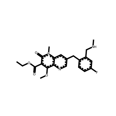 CCOC(=O)c1c(OC)c2ncc(Cc3ccc(F)cc3CNC)cc2n(C)c1=O